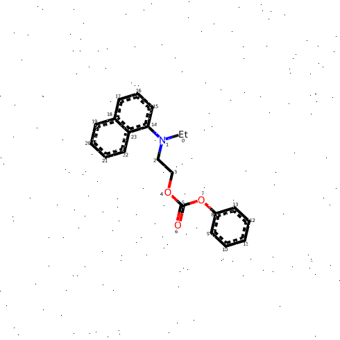 CCN(CCOC(=O)Oc1ccccc1)c1cccc2ccccc12